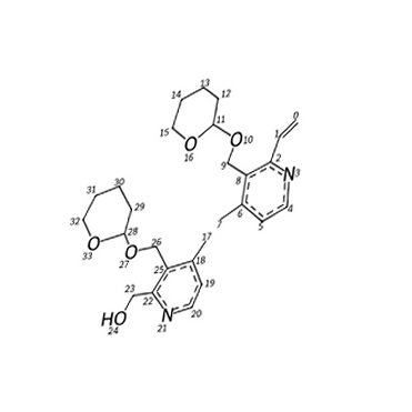 C=Cc1nccc(C)c1COC1CCCCO1.Cc1ccnc(CO)c1COC1CCCCO1